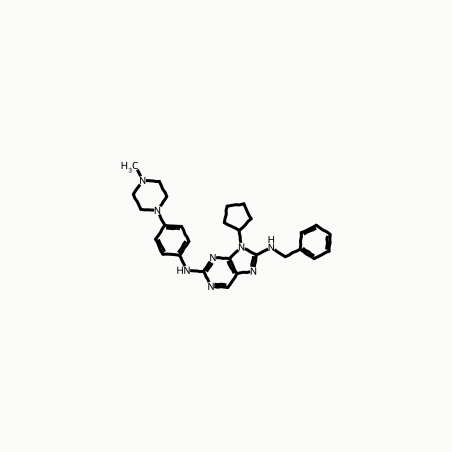 CN1CCN(c2ccc(Nc3ncc4nc(NCc5ccccc5)n(C5CCCC5)c4n3)cc2)CC1